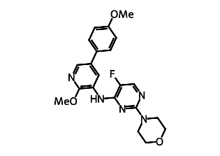 COc1ccc(-c2cnc(OC)c(Nc3nc(N4CCOCC4)ncc3F)c2)cc1